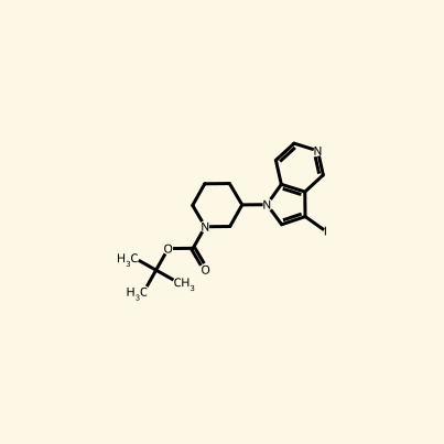 CC(C)(C)OC(=O)N1CCCC(n2cc(I)c3cnccc32)C1